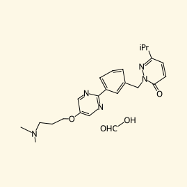 CC(C)c1ccc(=O)n(Cc2cccc(-c3ncc(OCCCN(C)C)cn3)c2)n1.O=CO